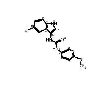 O=C(Nc1ccc(SC(F)(F)F)nc1)Nc1c[nH]c2ccc(F)cc12